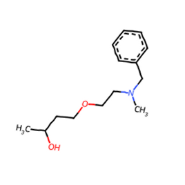 CC(O)CCOCCN(C)Cc1ccccc1